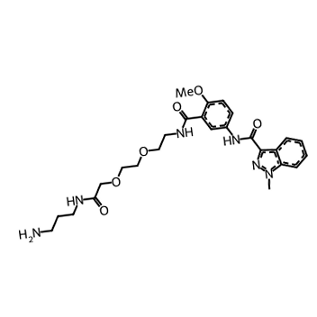 COc1ccc(NC(=O)c2nn(C)c3ccccc23)cc1C(=O)NCCOCCOCC(=O)NCCCN